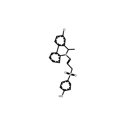 CC1c2cc(Cl)ccc2-c2ccccc2N1C=CCS(=O)(=O)c1ccc(O)cc1